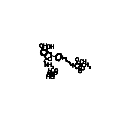 CC1(C)C(=O)N(CCCCN2CCC([C@H]3Cc4c(ccc(O)c4O)[C@@H](CN)O3)CC2)CS1(=O)=O.Cl.Cl.O.O